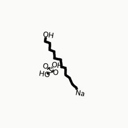 O=S(=O)(O)O.OCCCCCCCCCCC[CH2][Na]